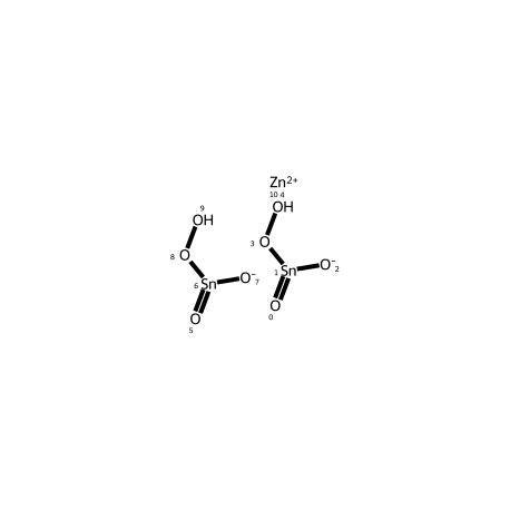 [O]=[Sn]([O-])[O]O.[O]=[Sn]([O-])[O]O.[Zn+2]